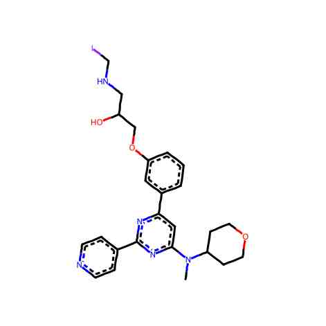 CN(c1cc(-c2cccc(OCC(O)CNCI)c2)nc(-c2ccncc2)n1)C1CCOCC1